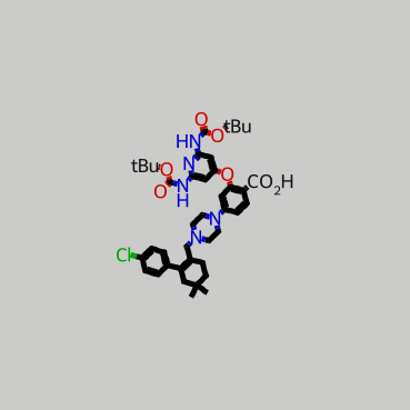 CC1(C)CCC(CN2CCN(c3ccc(C(=O)O)c(Oc4cc(NC(=O)OC(C)(C)C)nc(NC(=O)OC(C)(C)C)c4)c3)CC2)=C(c2ccc(Cl)cc2)C1